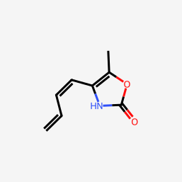 C=C/C=C\c1[nH]c(=O)oc1C